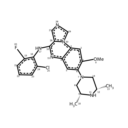 COc1cc2c(cc1N1C[C@@H](C)N[C@@H](C)C1)nc(Nc1c(F)cccc1Cl)c1cncn12